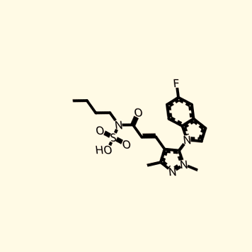 CCCCN(C(=O)C=Cc1c(C)nn(C)c1-n1ccc2cc(F)ccc21)S(=O)(=O)O